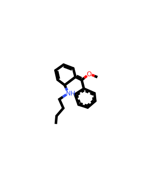 CCCCNC1C=CC=CC1=C(OC)c1ccccc1